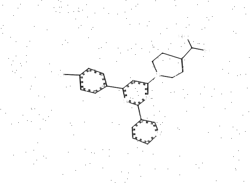 CCC(O)C1CCN(c2cc(-c3ccc(Cl)cc3)nc(-c3cccnc3)n2)CC1